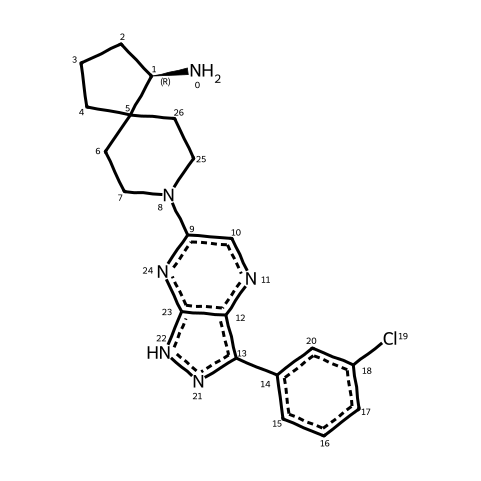 N[C@@H]1CCCC12CCN(c1cnc3c(-c4cccc(Cl)c4)n[nH]c3n1)CC2